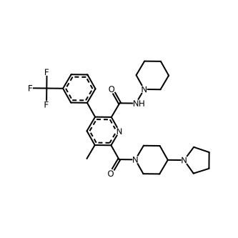 Cc1cc(-c2cccc(C(F)(F)F)c2)c(C(=O)NN2CCCCC2)nc1C(=O)N1CCC(N2CCCC2)CC1